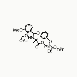 CCCO[C@@H](CC)[C@@H](Oc1ccccc1)[C@H](C)OC(=O)C(C)(C)NC(=O)c1nccc(OC)c1OCOC(C)=O